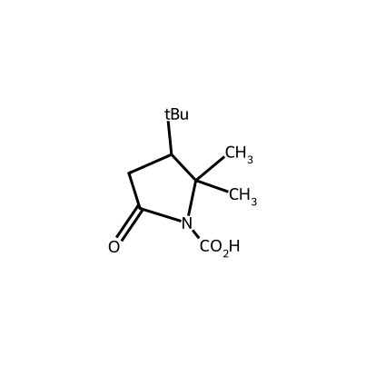 CC(C)(C)C1CC(=O)N(C(=O)O)C1(C)C